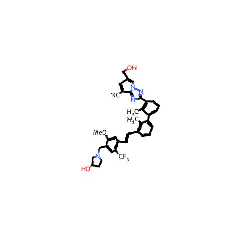 COc1cc(/C=C/c2cccc(-c3cccc(-c4nc5c(C#N)cc(CO)cn5n4)c3C)c2C)c(C(F)(F)F)cc1CN1CC[C@@H](O)C1